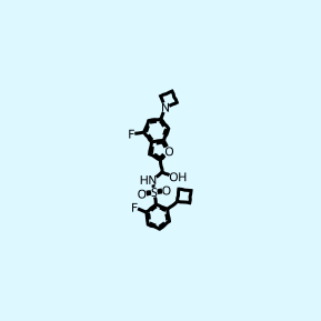 O=S(=O)(NC(O)c1cc2c(F)cc(N3CCC3)cc2o1)c1c(F)cccc1C1CCC1